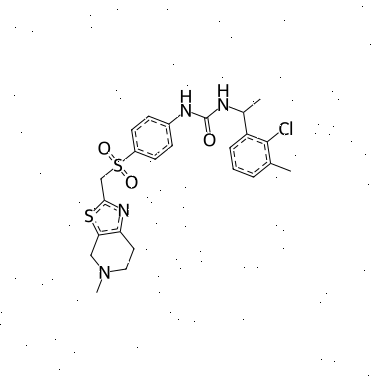 Cc1cccc(C(C)NC(=O)Nc2ccc(S(=O)(=O)Cc3nc4c(s3)CN(C)CC4)cc2)c1Cl